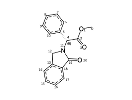 COC(=O)[C@@H](c1ccccc1)N1Cc2ccccc2C1=O